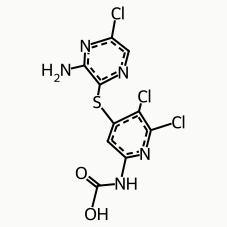 Nc1nc(Cl)cnc1Sc1cc(NC(=O)O)nc(Cl)c1Cl